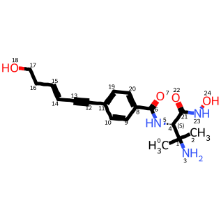 CC(C)(N)[C@H](NC(=O)c1ccc(C#CC=CCCO)cc1)C(=O)NO